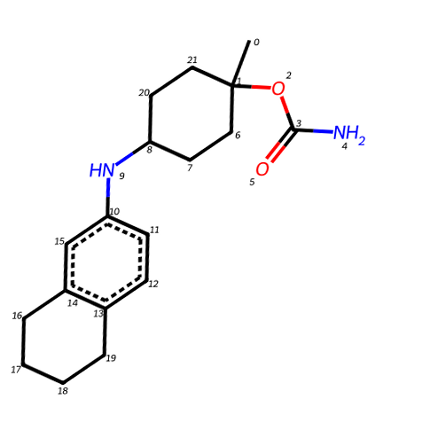 CC1(OC(N)=O)CCC(Nc2ccc3c(c2)CCCC3)CC1